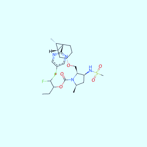 CCC(OC(=O)N1[C@H](C)C[C@H](NS(C)(=O)=O)[C@@H]1CO[C@H]1CC[C@]2(c3ncc(F)cn3)[C@H](C1)[C@@H]2C)C(F)F